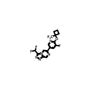 Fc1cc(-c2cn3c(C(F)F)nnc3cn2)cnc1OC1(C(F)(F)F)CCC1